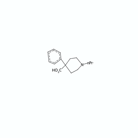 CC[CH]N1CCC(C(=O)O)(c2ccccc2)CC1